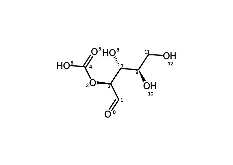 O=C[C@@H](OC(=O)O)[C@H](O)[C@H](O)CO